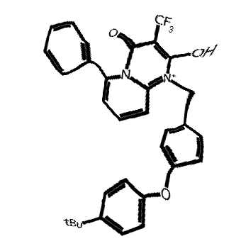 CC(C)(C)c1ccc(Oc2ccc(C[n+]3c(O)c(C(F)(F)F)c(=O)n4c(-c5ccccc5)cccc43)cc2)cc1